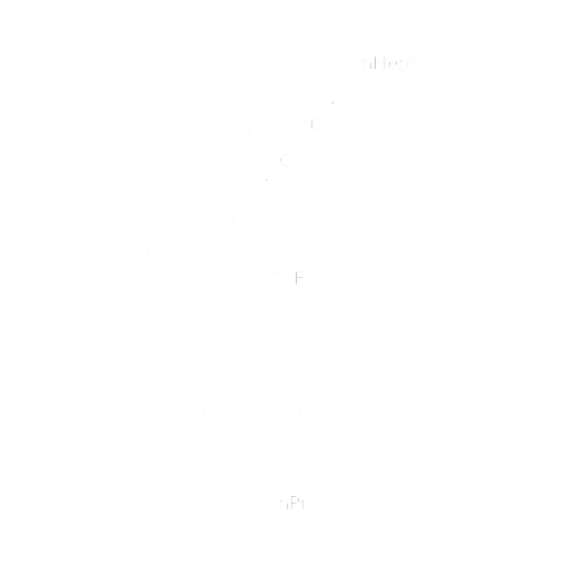 CCCCCCCC12CCC(c3cccc(-c4ccc(CCC)cc4)c3F)(CC1)CC2